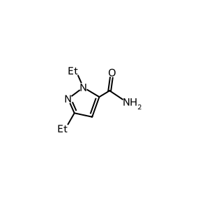 CCc1cc(C(N)=O)n(CC)n1